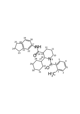 Cc1ccccc1C(=O)N1CCCC(C(=O)Nc2ccc3c(c2)CCC3)C1C1CCCCC1